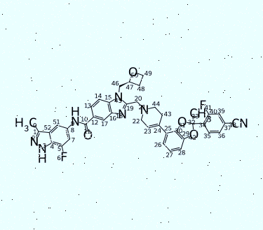 Cc1n[nH]c2c(F)cc(NC(=O)c3ccc4c(c3)nc(CN3CC=C(c5cccc6c5O[C@@](C)(c5ccc(C#N)cc5F)O6)CC3)n4C[C@@H]3CCO3)cc12